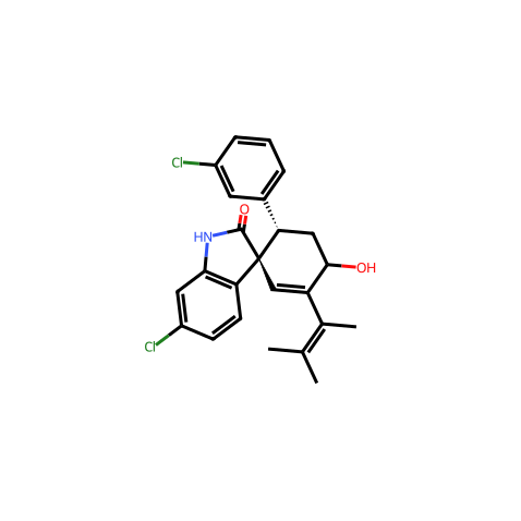 CC(C)=C(C)C1=C[C@@]2(C(=O)Nc3cc(Cl)ccc32)[C@H](c2cccc(Cl)c2)CC1O